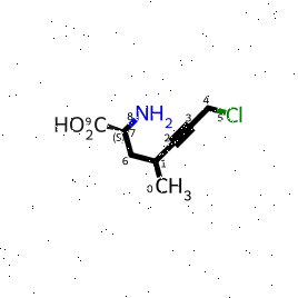 CC(C#CCCl)C[C@H](N)C(=O)O